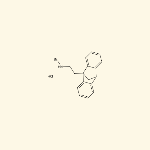 CCNCCC12CC(c3ccccc31)c1ccccc12.Cl